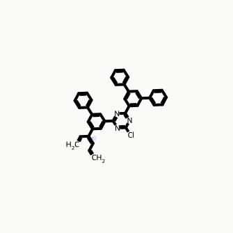 C=C/C=C(\C=C)c1cc(-c2ccccc2)cc(-c2nc(Cl)nc(-c3cc(-c4ccccc4)cc(-c4ccccc4)c3)n2)c1